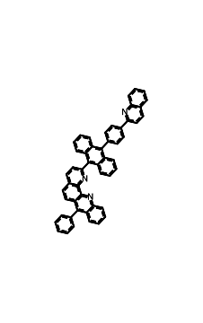 c1ccc(-c2c3ccccc3nc3c2ccc2ccc(-c4c5ccccc5c(-c5ccc(-c6ccc7ccccc7n6)cc5)c5ccccc45)nc23)cc1